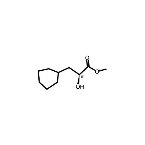 COC(=O)[C@@H](O)CC1CCCCC1